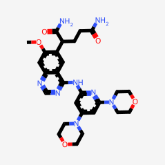 COc1cc2ncnc(Nc3cc(N4CCOCC4)cc(N4CCOCC4)n3)c2cc1C(CCC(N)=O)C(N)=O